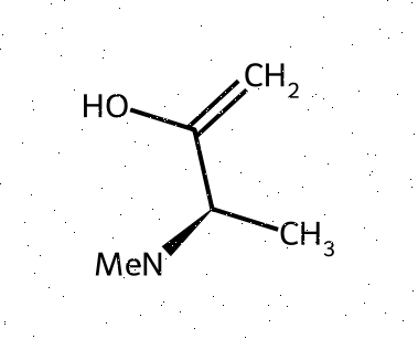 C=C(O)[C@@H](C)NC